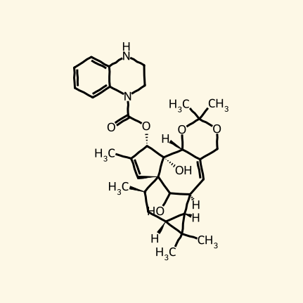 CC1=C[C@]23C(O)[C@@H](C=C4COC(C)(C)O[C@H]4[C@]2(O)[C@H]1OC(=O)N1CCNc2ccccc21)[C@H]1[C@@H](C[C@H]3C)C1(C)C